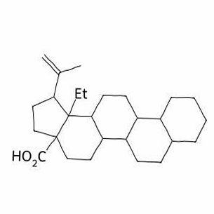 C=C(C)C1CCC2(C(=O)O)CCC3C4CCC5CCCCC5C4CCC3C12CC